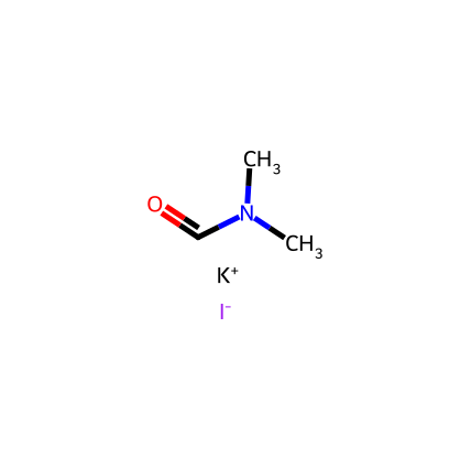 CN(C)C=O.[I-].[K+]